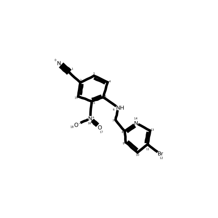 N#Cc1ccc(NCc2ccc(Br)cn2)c([N+](=O)[O-])c1